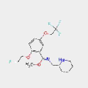 CO/C(=N\CC1CCCCN1)c1cc(OCC(F)(F)F)ccc1OCCF